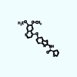 COc1cc2nccc(Oc3ccc4nc(NC(=O)c5cccs5)sc4c3)c2cc1OC